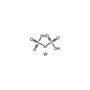 O=S(=O)(O)[Se]S(=O)(=O)O.[W]